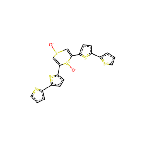 [O-][S+]1C=C(c2ccc(-c3cccs3)s2)[S+]([O-])C(c2ccc(-c3cccs3)s2)=C1